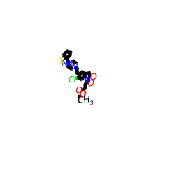 CCOC(=O)CCC(=O)N1C(=O)Cc2cc(CCN3CCN(c4nsc5ccccc45)CC3)c(Cl)cc21